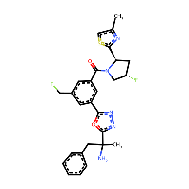 Cc1csc([C@H]2C[C@H](F)CN2C(=O)c2cc(CF)cc(-c3nnc(C(C)(N)Cc4ccccc4)o3)c2)n1